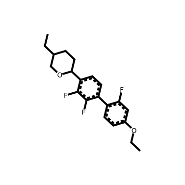 CCOc1ccc(-c2ccc(C3CCC(CC)CO3)c(F)c2F)c(F)c1